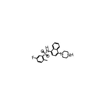 Cc1ccc(F)cc1S(=O)(=O)Nc1ccc(N2CCNCC2)c2ccccc12